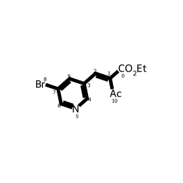 CCOC(=O)C(=Cc1cncc(Br)c1)C(C)=O